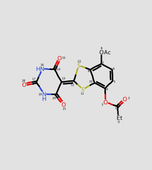 CCC(=O)Oc1ccc(OC(C)=O)c2c1SC(=C1C(=O)NC(=O)NC1=O)S2